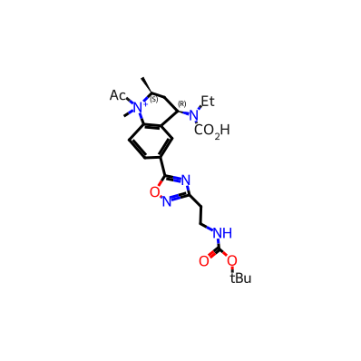 CCN(C(=O)O)[C@@H]1C[C@H](C)[N+](C)(C(C)=O)c2ccc(-c3nc(CCNC(=O)OC(C)(C)C)no3)cc21